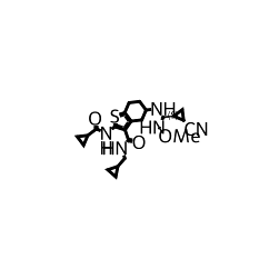 CONC(NC1CCc2sc(NC(=O)C3CC3)c(C(=O)NCC3CC3)c2C1)[C@H]1CC1C#N